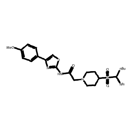 CCCCC(CCC)S(=O)(=O)C1CCN(CC(=O)Nc2nc(-c3ccc(OC)cc3)cs2)CC1